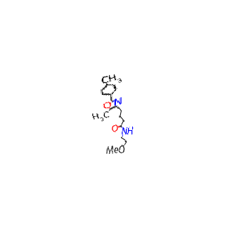 COCCNC(=O)CCCc1nc(-c2ccc(C)cc2)oc1C